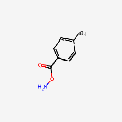 CCC(C)c1ccc(C(=O)ON)cc1